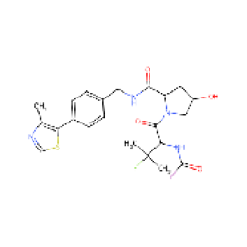 Cc1ncsc1-c1ccc(CNC(=O)C2CC(O)CN2C(=O)C(NC(=O)I)C(C)(C)F)cc1